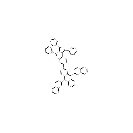 c1ccc(-c2nc3cc(-c4ccc5c(-c6ccc7ccccc7c6)c6ccccc6c(-c6ccc7ccccc7c6)c5c4)ccc3c3c(-c4cccnc4)sc(-c4cccnc4)c23)cc1